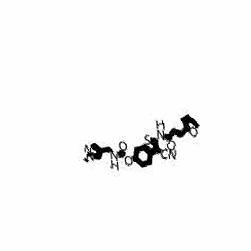 Cn1cc(CNC(=O)OC2CCc3c(sc(NC(=O)C=Cc4ccco4)c3C#N)C2)cn1